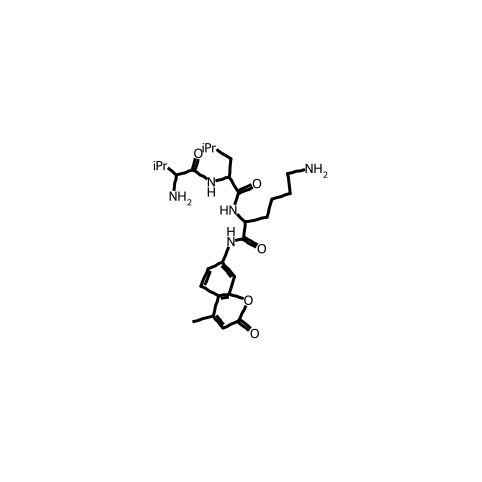 Cc1cc(=O)oc2cc(NC(=O)C(CCCCN)NC(=O)C(CC(C)C)NC(=O)C(N)C(C)C)ccc12